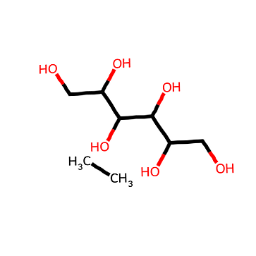 CC.OCC(O)C(O)C(O)C(O)CO